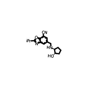 CC(C)c1nc2cc(CN[C@H]3CCC[C@@H]3O)cc(C#N)c2o1